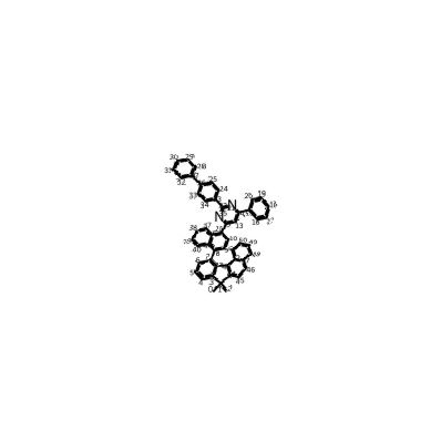 CC1(C)c2cccc(-c3ccc(-c4cc(-c5ccccc5)nc(-c5ccc(-c6ccccc6)cc5)n4)c4ccccc34)c2-c2c1ccc1ccccc21